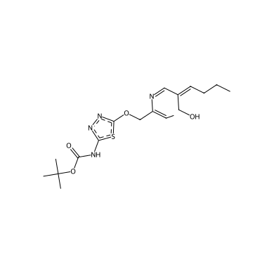 C\C=C(COc1nnc(NC(=O)OC(C)(C)C)s1)/N=C\C(=C\CCC)CO